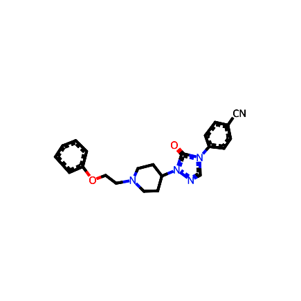 N#Cc1ccc(-n2cnn(C3CCN(CCOc4ccccc4)CC3)c2=O)cc1